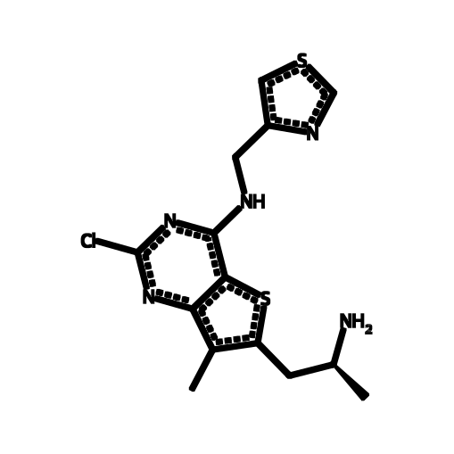 Cc1c(C[C@H](C)N)sc2c(NCc3cscn3)nc(Cl)nc12